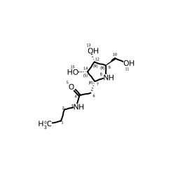 CCCNC(=O)C[C@H]1N[C@H](CO)[C@@H](O)[C@H]1O